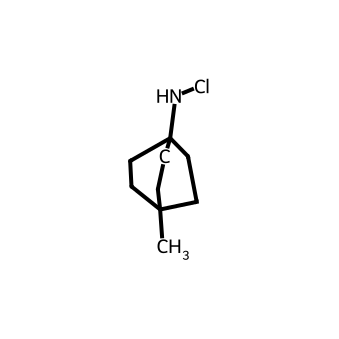 CC12CCC(NCl)(CC1)CC2